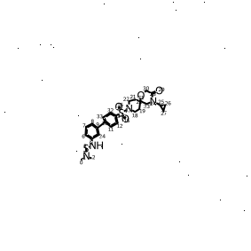 CN(C)SNc1cccc(-c2ccc(S(=O)(=O)N3CCC4(CC3)CN(C3CC3)C(=O)CO4)cc2)c1